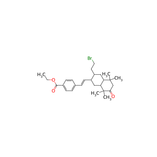 CCOC(=O)c1ccc(C=CC2CC3C(CC2CCBr)C(C)(C)CC(=O)C3(C)C)cc1